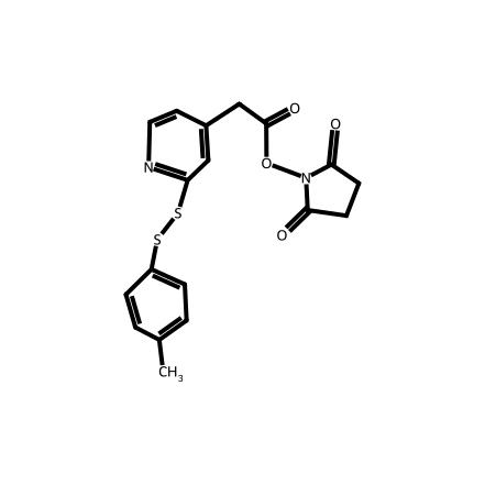 Cc1ccc(SSc2cc(CC(=O)ON3C(=O)CCC3=O)ccn2)cc1